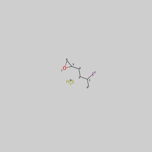 CC(I)CCC1CO1.S